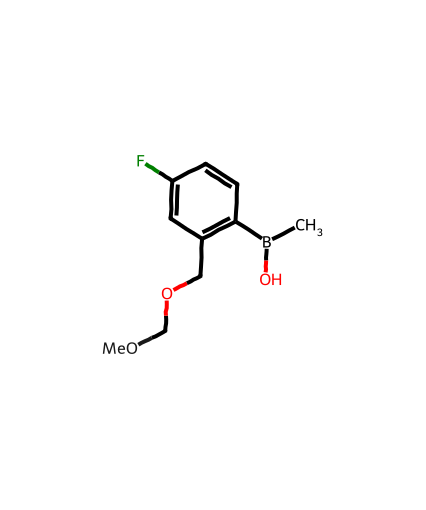 COCOCc1cc(F)ccc1B(C)O